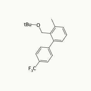 Cc1cccc(-c2ccc(C(F)(F)F)cc2)c1COC(C)(C)C